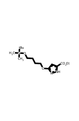 CCOC(=O)c1cc(OCCCCO[Si](C)(C)C(C)(C)C)n[nH]1